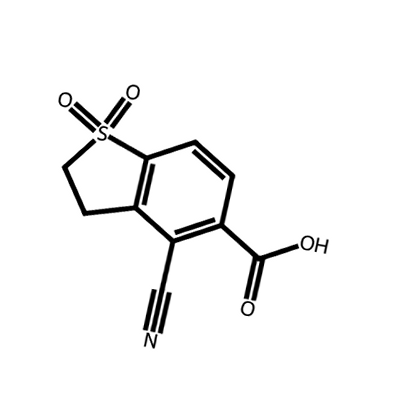 N#Cc1c(C(=O)O)ccc2c1CCS2(=O)=O